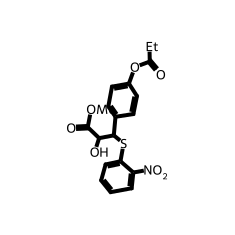 CCC(=O)Oc1ccc(C(Sc2ccccc2[N+](=O)[O-])C(O)C(=O)OC)cc1